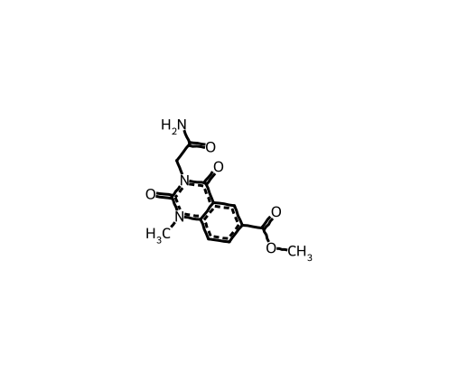 COC(=O)c1ccc2c(c1)c(=O)n(CC(N)=O)c(=O)n2C